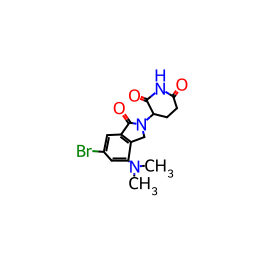 CN(C)c1cc(Br)cc2c1CN(C1CCC(=O)NC1=O)C2=O